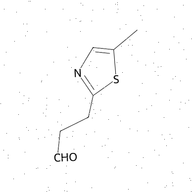 Cc1cnc(CCC=O)s1